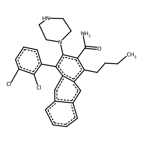 CCCCc1c(C(N)=O)c(N2CCNCC2)c(-c2cccc(Cl)c2Cl)c2cc3ccccc3cc12